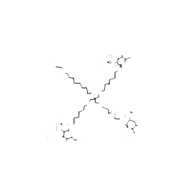 CSCCOCCC(=O)CCCCC(=O)NC(COCCC(=O)CCCOC1OC(CO)C(O)C(C)C1NC(C)=O)(COCCC(=O)CCCOC1OC(CO)C(O)C(O)C1NC(C)=O)COCCC(=O)NCCOC1OC(CO)C(O)C(O)C1NC(C)=O